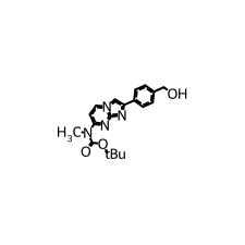 CN(C(=O)OC(C)(C)C)c1ccn2cc(-c3ccc(CO)cc3)nc2n1